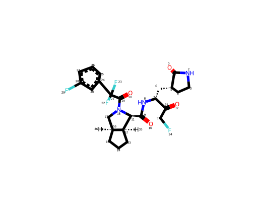 O=C1NCC[C@@H]1C[C@@H](NC(=O)[C@H]1[C@H]2CCC[C@H]2CN1C(=O)C(F)(F)c1cccc(F)c1)C(=O)CF